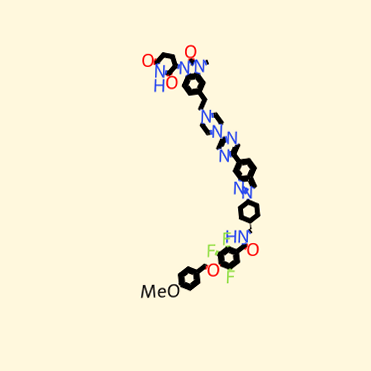 COc1ccc(COc2c(F)cc(C(=O)NC[C@H]3CC[C@H](n4cc5ccc(-c6cnc(N7CCN(CCc8ccc9c(c8)n(C)c(=O)n9C8CCC(=O)NC8=O)CC7)cn6)cc5n4)CC3)c(F)c2F)cc1